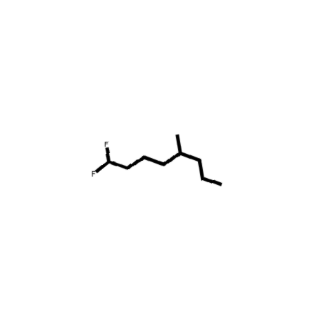 CCCC(C)CCCC(F)F